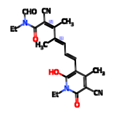 CCN(C=O)C(=O)/C(C#N)=C(C)\C(C)=C\C=Cc1c(C)c(C#N)c(=O)n(CC)c1O